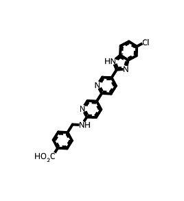 O=C(O)c1ccc(CNc2ccc(-c3ccc(-c4nc5cc(Cl)ccc5[nH]4)cn3)cn2)cc1